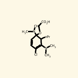 CCCC1C(N(C)C)=C(Cl)C=CC1(OCC(=O)O)N(C)C